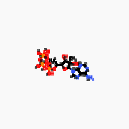 C[C@H](OP(=O)(O)OP(=O)(O)OP(=O)(O)O)[C@H]1O[C@@H](n2cnc3c(N)ncnc32)[C@](C)(O)[C@@H]1O